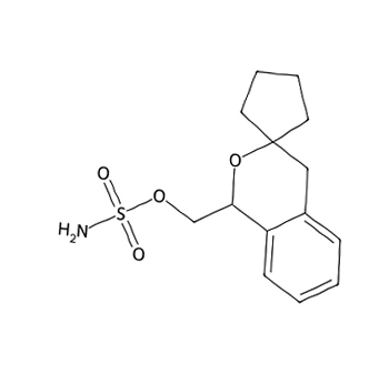 NS(=O)(=O)OCC1OC2(CCCC2)Cc2ccccc21